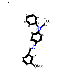 COc1cccc(CNc2ccc(N(CC(=O)O)c3ccccc3)cc2)c1